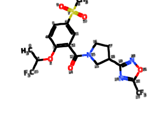 CC(Oc1ccc(S(C)(=O)=O)cc1C(=O)N1CCC(c2noc(C(F)(F)F)n2)C1)C(F)(F)F